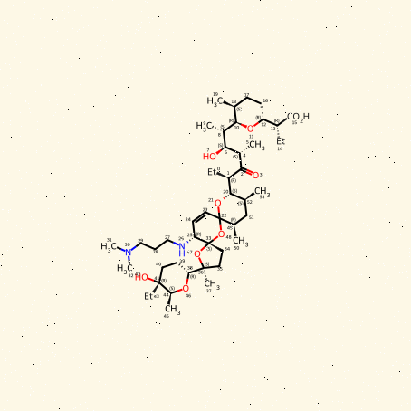 CC[C@@H](C(=O)[C@@H](C)[C@@H](O)[C@H](C)[C@@H]1O[C@@H]([C@@H](CC)C(=O)O)CC[C@@H]1C)[C@H]1OC2(C=C[C@@H](NCCCN(C)C)[C@]3(CC[C@@](C)([C@H]4CC[C@](O)(CC)[C@H](C)O4)O3)O2)[C@H](C)C[C@@H]1C